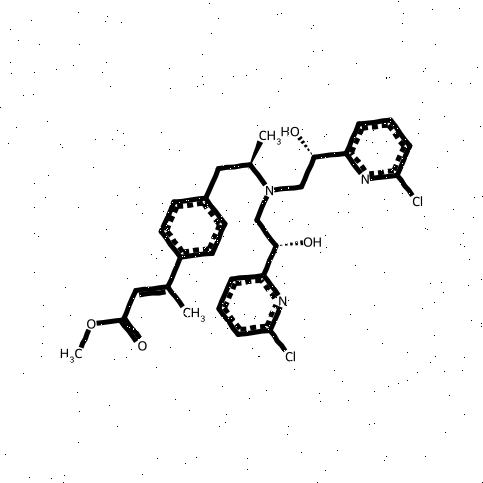 COC(=O)/C=C(\C)c1ccc(C[C@@H](C)N(C[C@H](O)c2cccc(Cl)n2)C[C@H](O)c2cccc(Cl)n2)cc1